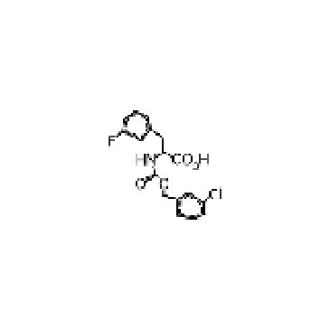 O=C(NC(Cc1cccc(F)c1)C(=O)O)OCc1cccc(Cl)c1